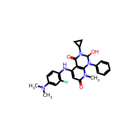 CN(C)c1ccc(Nc2cc(=O)n(C)c3c2C(=O)N(C2CC2)C(O)N3c2ccccc2)c(F)c1